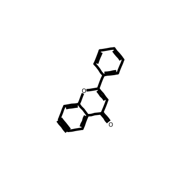 O=c1cc(-c2ccccc2)oc2cc#ccc12